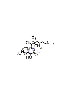 CCCCCC(C)(C)C(Cl)/C(=N/C)N1CCN(C)O/C1=C(\O)C=O